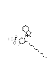 CCCCCCCCCc1cc(C)c(S(=O)(=O)O)cc1-n1ncc2ccccc21